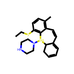 CCSc1ccc(C)c2c1[SH](N1CCNCC1)C1CC=CC=C1C=C2